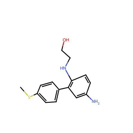 CSc1ccc(-c2cc(N)ccc2NCCO)cc1